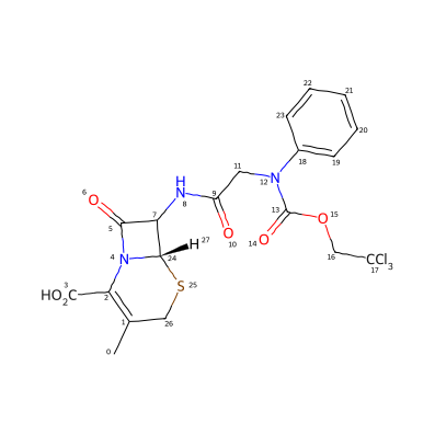 CC1=C(C(=O)O)N2C(=O)C(NC(=O)CN(C(=O)OCC(Cl)(Cl)Cl)c3ccccc3)[C@@H]2SC1